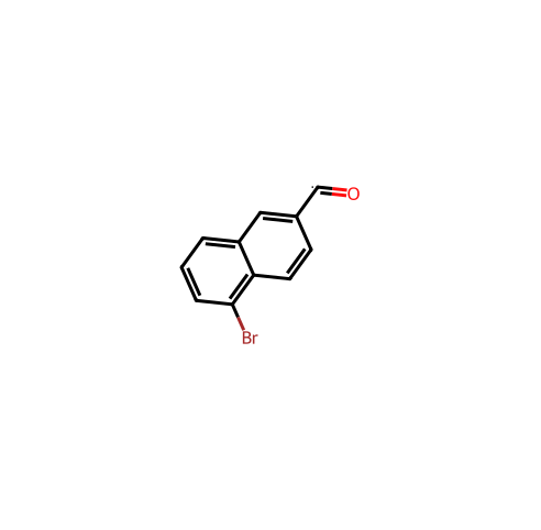 O=[C]c1ccc2c(Br)cccc2c1